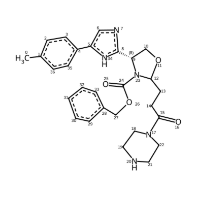 Cc1ccc(-c2cnc([C@@H]3COC(CCC(=O)N4CCNCC4)N3C(=O)OCc3ccccc3)[nH]2)cc1